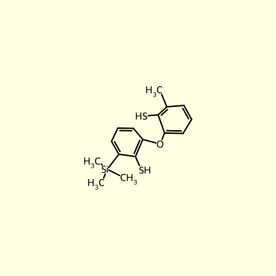 Cc1cccc(Oc2cccc([Si](C)(C)C)c2S)c1S